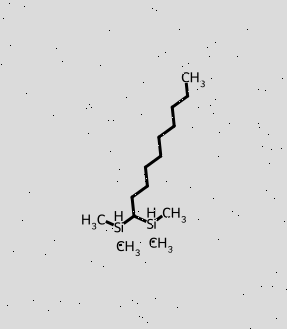 CCCCCCCCCC([SiH](C)C)[SiH](C)C